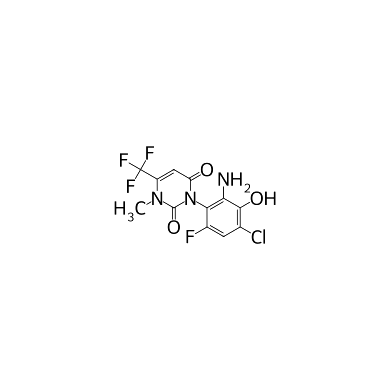 Cn1c(C(F)(F)F)cc(=O)n(-c2c(F)cc(Cl)c(O)c2N)c1=O